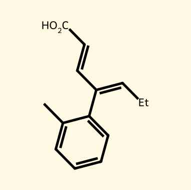 CC/C=C(/C=C/C(=O)O)c1ccccc1C